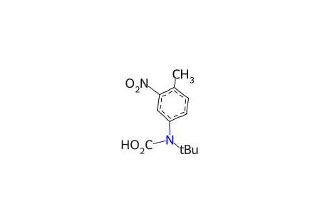 Cc1ccc(N(C(=O)O)C(C)(C)C)cc1[N+](=O)[O-]